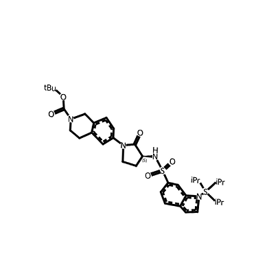 CC(C)S(C(C)C)(C(C)C)n1ccc2ccc(S(=O)(=O)N[C@H]3CCN(c4ccc5c(c4)CCN(C(=O)OC(C)(C)C)C5)C3=O)cc21